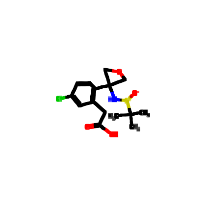 CC(C)(C)[S+]([O-])NC1(c2ccc(Cl)cc2CC(=O)O)COC1